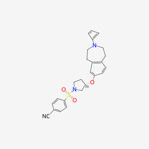 N#Cc1ccc(S(=O)(=O)N2CC[C@H](Oc3ccc4c(c3)CCN(C3=CC=C3)CC4)C2)cc1